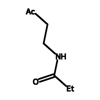 CCC(=O)NCCC(C)=O